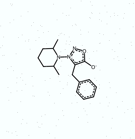 CC1CCCC(C)N1[n+]1noc([O-])c1Cc1ccccc1